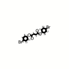 O=C(/C=C/C(=O)Oc1ccc(Br)cc1)Oc1ccc(Br)cc1